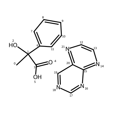 CC(O)(C(=O)O)c1ccccc1.c1cnc2ncncc2n1